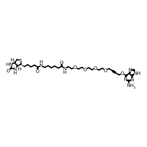 Nc1nc(OCC#CCOCCOCCOCCOCCNC(=O)CCCCCNC(=O)CCCC[C@@H]2SC[C@@H]3NC(=O)N[C@@H]32)c2nc[nH]c2n1